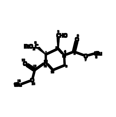 CCOC(=O)[C@@H]1[C@@H](C=O)N(C(=O)OC(C)(C)C)CCN1C(=O)OC(C)(C)C